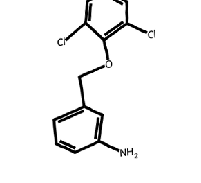 Nc1cccc(COc2c(Cl)cccc2Cl)c1